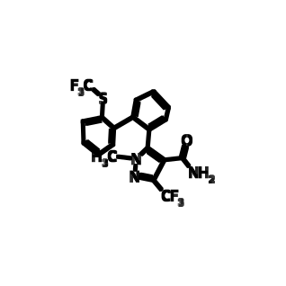 Cn1nc(C(F)(F)F)c(C(N)=O)c1-c1ccccc1-c1ccccc1SC(F)(F)F